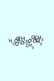 CC(c1ccc(C(=O)C(C)(C)Cl)cc1)c1ccc(C(=O)C(C)(C)Cl)cc1